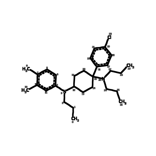 CCCN(c1ccc(C)c(C)c1)C1CCC(c2ccc(Cl)cc2)(N(CCC)CCC)CC1